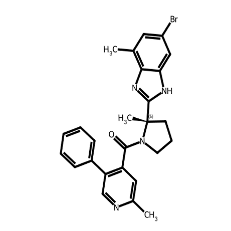 Cc1cc(C(=O)N2CCC[C@@]2(C)c2nc3c(C)cc(Br)cc3[nH]2)c(-c2ccccc2)cn1